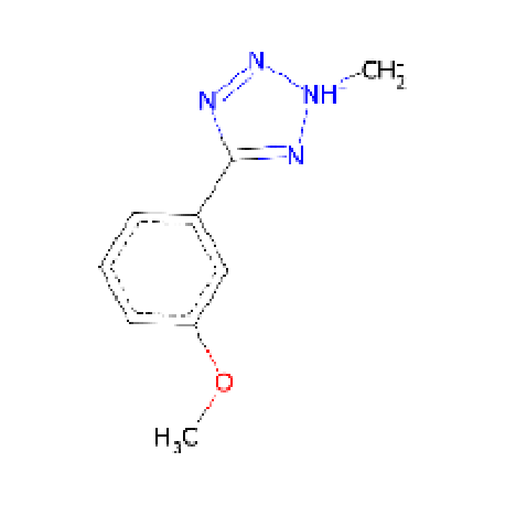 [CH2-][NH+]1N=NC(c2cccc(OC)c2)=N1